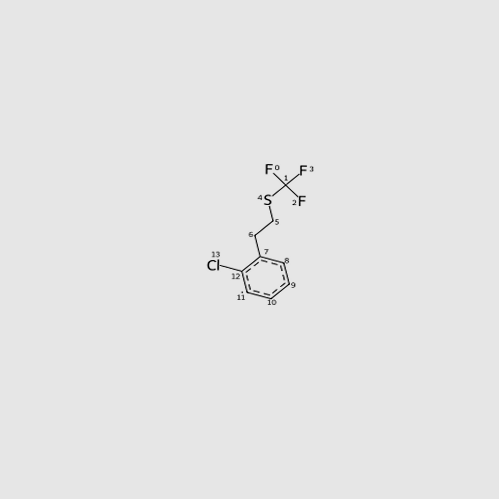 FC(F)(F)SCCc1ccc[c]c1Cl